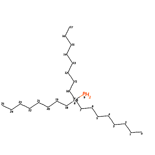 CCCCCCCC[Te](P)(CCCCCCCC)CCCCCCCC